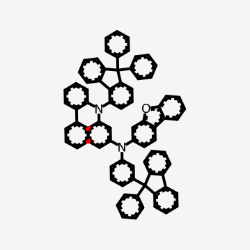 c1ccc(-c2ccccc2N(c2cccc(N(c3cccc(C4(c5ccccc5)c5ccccc5-c5ccccc54)c3)c3ccc4c(c3)oc3ccccc34)c2)c2cccc3c2-c2ccccc2C3(c2ccccc2)c2ccccc2)cc1